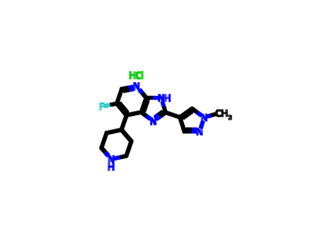 Cl.Cn1cc(-c2nc3c(C4CCNCC4)c(F)cnc3[nH]2)cn1